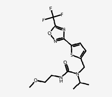 COCCNC(=O)N(Cc1ccc(-c2noc(C(F)(F)F)n2)s1)C(C)C